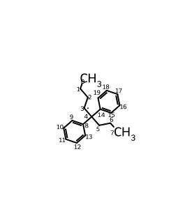 CCC[CH]C(CCC)(c1ccccc1)c1ccccc1